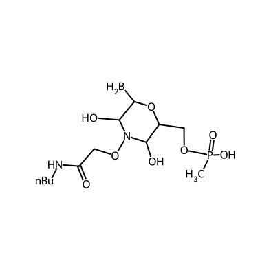 BC1OC(COP(C)(=O)O)C(O)N(OCC(=O)NCCCC)C1O